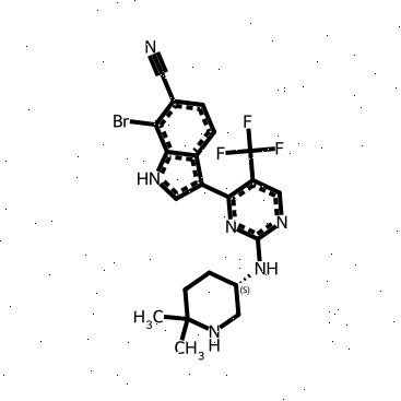 CC1(C)CC[C@H](Nc2ncc(C(F)(F)F)c(-c3c[nH]c4c(Br)c(C#N)ccc34)n2)CN1